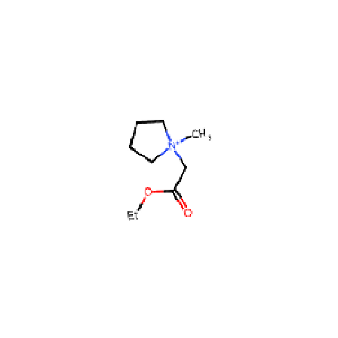 CCOC(=O)C[N+]1(C)CCCC1